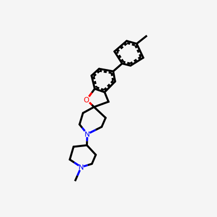 Cc1ccc(-c2ccc3c(c2)CC2(CCN(C4CCN(C)CC4)CC2)O3)cc1